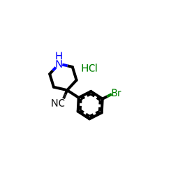 Cl.N#CC1(c2cccc(Br)c2)CCNCC1